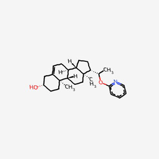 CC(Oc1ccccn1)[C@H]1CC[C@H]2[C@@H]3CC=C4C[C@@H](O)CC[C@]4(C)[C@H]3CC[C@]12C